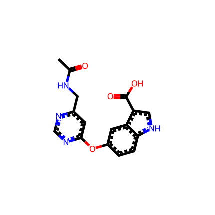 CC(=O)NCc1cc(Oc2ccc3[nH]cc(C(=O)O)c3c2)ncn1